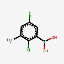 Cc1cc(F)cc(B(O)O)c1Cl